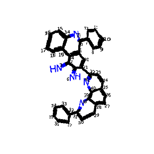 N=C1C(=N)c2c(c(-c3ccccc3)nc3ccccc23)C=C1c1ccc2ccc3ccc(-c4ccccc4)nc3c2n1